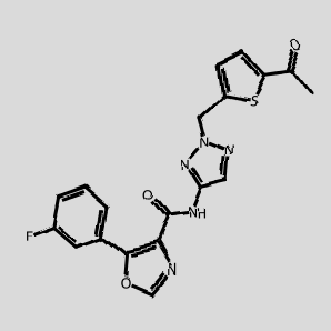 CC(=O)c1ccc(Cn2ncc(NC(=O)c3ncoc3-c3cccc(F)c3)n2)s1